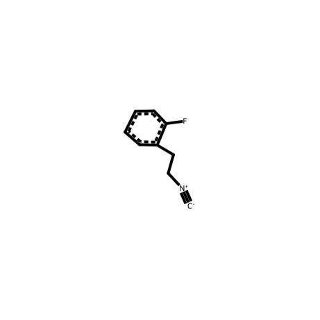 [C-]#[N+]CCc1ccccc1F